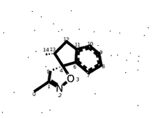 CC1=NO[C@]2(C1)c1ccccc1C[C@H]2C